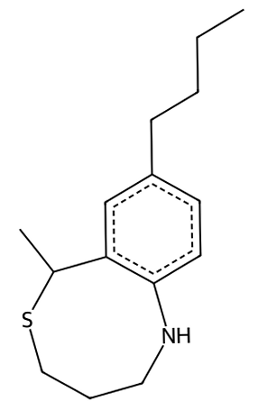 CCCCc1ccc2c(c1)C(C)SCCCN2